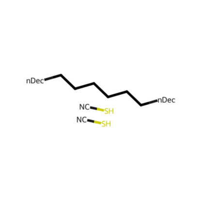 CCCCCCCCCCCCCCCCCCCCCCCCCC.N#CS.N#CS